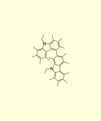 CCn1c2c(C)c(C)c(C)c(C)c2c2c(C)c(C)c(-c3c(C)c(C)c(C)c4c3c3c(C)c(C)c(C)c(C)c3n4CC)c(C)c21